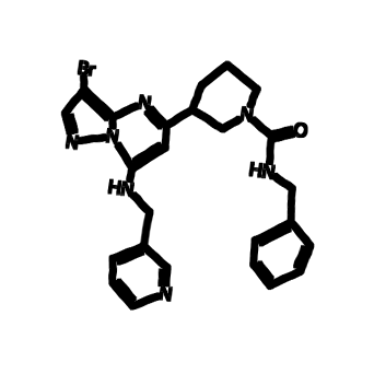 O=C(NCc1ccccc1)N1CCCC(c2cc(NCc3cccnc3)n3ncc(Br)c3n2)C1